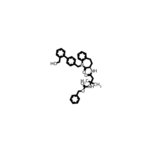 CC(C)(CC(=O)N[C@@H]1CCc2ccccc2N(Cc2ccc(-c3ccccc3CO)cc2)C1=O)NC(=O)OCc1ccccc1